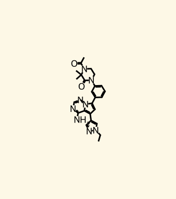 CCn1cc(-c2cc(-c3cccc(N4CCN(C(C)=O)C(C)(C)C4=O)c3)n3ncnc(N)c23)cn1